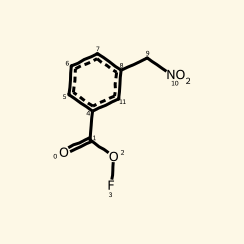 O=C(OF)c1cccc(C[N+](=O)[O-])c1